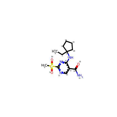 CCC1(Nc2nc(S(C)(=O)=O)ncc2C(N)=O)CCCC1